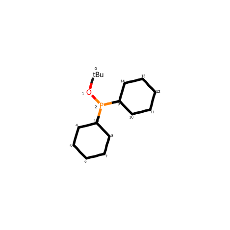 CC(C)(C)OP(C1CCCCC1)C1CCCCC1